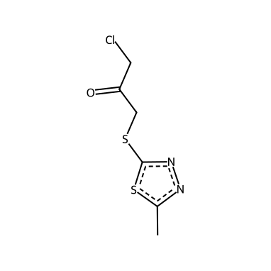 Cc1nnc(SCC(=O)CCl)s1